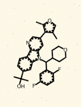 Cc1coc(C)c1-c1cnc2c3ccc(C(C)(C)O)cc3n(C(c3cc(F)ccc3F)C3CCOCC3)c2c1